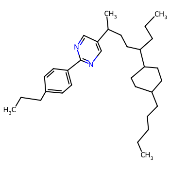 CCCCCC1CCC(C(CCC)CCC(C)c2cnc(-c3ccc(CCC)cc3)nc2)CC1